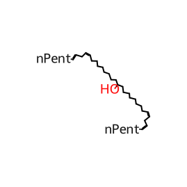 CCCCCC=CC/C=C\CCCCCCCCC(O)CCCCCCCC/C=C\C/C=C\CCCCC